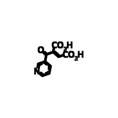 O=C(O)C=C(C(=O)O)C(=O)c1cccnc1